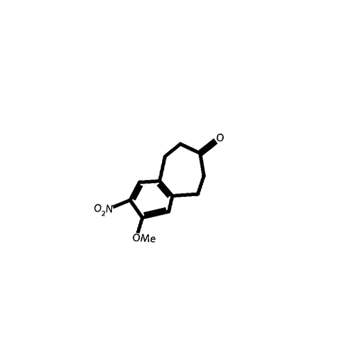 COc1cc2c(cc1[N+](=O)[O-])CCC(=O)CC2